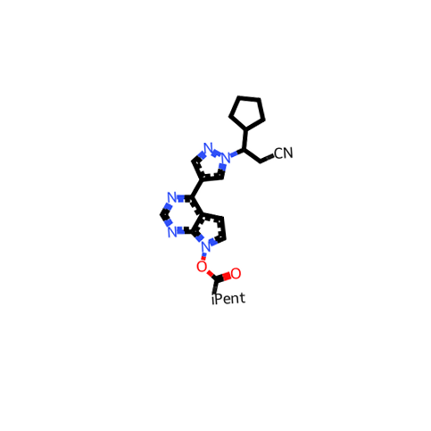 CCCC(C)C(=O)On1ccc2c(-c3cnn(C(CC#N)C4CCCC4)c3)ncnc21